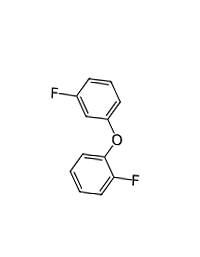 Fc1cccc(Oc2ccccc2F)c1